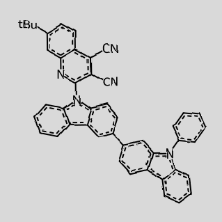 CC(C)(C)c1ccc2c(C#N)c(C#N)c(-n3c4ccccc4c4cc(-c5ccc6c7ccccc7n(-c7ccccc7)c6c5)ccc43)nc2c1